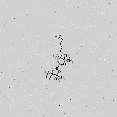 CCCCCOC1(C)OB(B2OC(C)(C)C(C)(C)O2)OC1(C)C